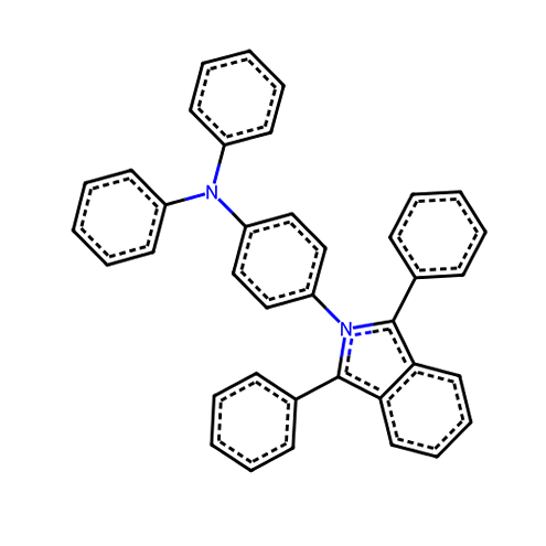 c1ccc(-c2c3ccccc3c(-c3ccccc3)n2-c2ccc(N(c3ccccc3)c3ccccc3)cc2)cc1